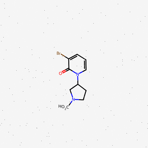 O=C(O)N1CCC(n2cccc(Br)c2=O)C1